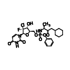 C[C@H](NP(=O)(OC[C@H]1O[C@@H](n2ccc(=O)[nH]c2=O)[C@@](F)(Cl)[C@@H]1O)Oc1ccccc1)C(=O)CC1CCCCC1